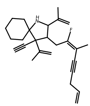 C#CC1(C(=C)C)C(C/C(F)=C(/C)C#CCC=C)C(C(=C)C)NC12CCCCC2